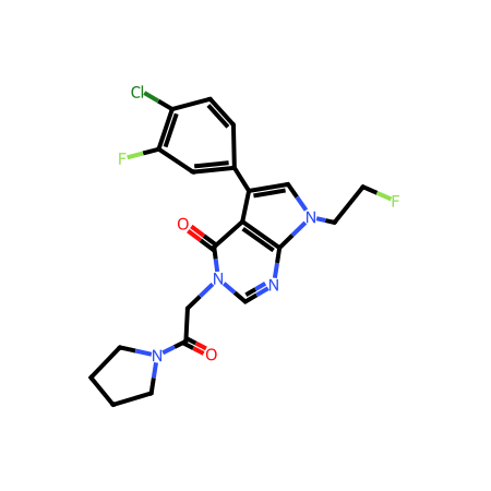 O=C(Cn1cnc2c(c(-c3ccc(Cl)c(F)c3)cn2CCF)c1=O)N1CCCC1